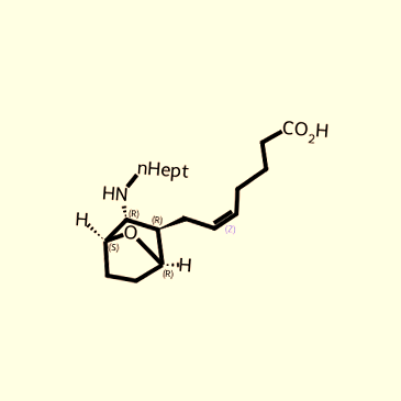 CCCCCCCN[C@@H]1[C@@H](C/C=C\CCCC(=O)O)[C@H]2CC[C@@H]1O2